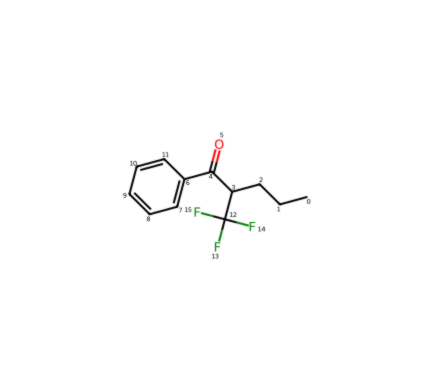 CCCC(C(=O)c1ccccc1)C(F)(F)F